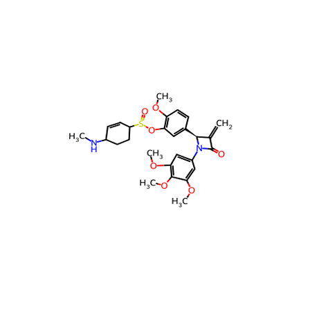 C=C1C(=O)N(c2cc(OC)c(OC)c(OC)c2)[C@H]1c1ccc(OC)c(OS(=O)C2C=CC(NC)CC2)c1